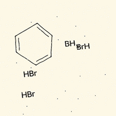 B.Br.Br.Br.c1ccccc1